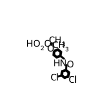 CC(C)(Oc1ccc(CNC(=O)c2cc(Cl)cc(Cl)c2)cc1)C(=O)O